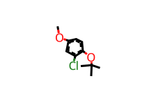 COc1ccc(OC(C)(C)C)c(Cl)c1